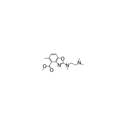 COC(=O)c1c(C)ccc2oc(N(C)CCN(C)C)nc12